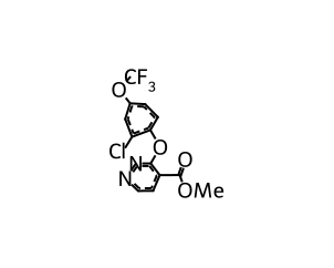 COC(=O)c1ccnnc1Oc1ccc(OC(F)(F)F)cc1Cl